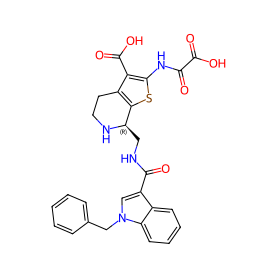 O=C(O)C(=O)Nc1sc2c(c1C(=O)O)CCN[C@@H]2CNC(=O)c1cn(Cc2ccccc2)c2ccccc12